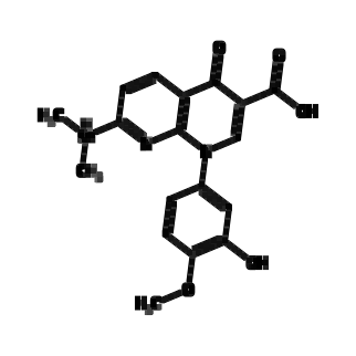 COc1ccc(-n2cc(C(=O)O)c(=O)c3cc[c]([SnH]([CH3])[CH3])nc32)cc1O